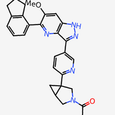 COc1cc2[nH]nc(-c3ccc(C45CC4CN(C(=O)CO)C5)nc3)c2nc1-c1cccc2c1CCC2